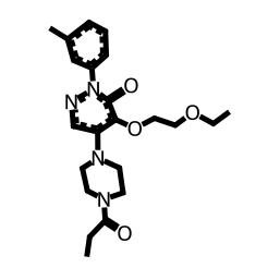 CCOCCOc1c(N2CCN(C(=O)CC)CC2)cnn(-c2cccc(C)c2)c1=O